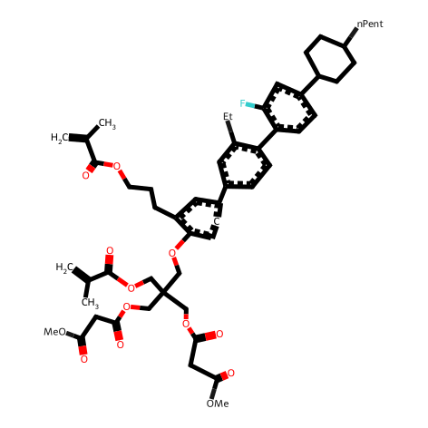 C=C(C)C(=O)OCCCc1cc(-c2ccc(-c3ccc(C4CCC(CCCCC)CC4)cc3F)c(CC)c2)ccc1OCC(COC(=O)CC(=O)OC)(COC(=O)CC(=O)OC)COC(=O)C(=C)C